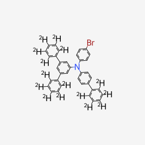 [2H]c1c([2H])c([2H])c(-c2ccc(N(c3ccc(Br)cc3)c3cc(-c4c([2H])c([2H])c([2H])c([2H])c4[2H])cc(-c4c([2H])c([2H])c([2H])c([2H])c4[2H])c3)cc2)c([2H])c1[2H]